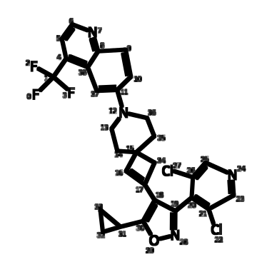 FC(F)(F)c1ccnc2ccc(N3CCC4(C=C(c5c(-c6c(Cl)cncc6Cl)noc5C5CC5)C4)CC3)cc12